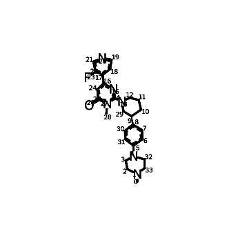 CN1CCN(c2ccc([C@@H]3CCCN(c4nc(-c5ccncc5F)cc(=O)n4C)C3)cc2)CC1